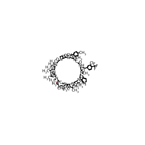 CC[C@H](C)[C@@H]1NC(=O)[C@H](CC(C)C)N(C)C(=O)C[C@@H](C(=O)N(C)C)N(C)C(=O)[C@H]([C@@H](C)CC)N(C)C(=O)[C@H](C(C)C)NC(=O)[C@H](Cc2ccncc2)N(C)C(=O)[C@H](CCc2ccc(C(F)(F)F)c(Cl)c2)NC(=O)CN(C)C(=O)[C@H](Cc2ccc(C)cc2)N(C)C(=O)[C@@H]2CCN2C(=O)[C@H](C)N(C)C1=O